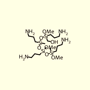 CO[Si](C)(CCCN)O[Si](CCCN)(OC)O[Si](C)(CCCN)O[Si](CO)(CCCN)OC